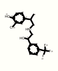 CC(CNCC(O)c1cccc(C(F)(F)F)c1)c1ccc(O)c(Cl)c1